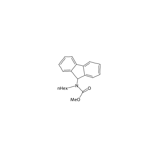 CCCCCCN(C(=O)OC)C1c2ccccc2-c2ccccc21